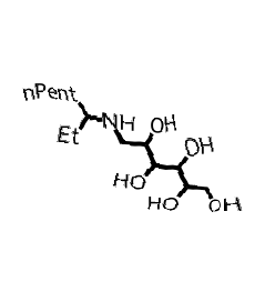 CCCCCC(CC)NCC(O)C(O)C(O)C(O)CO